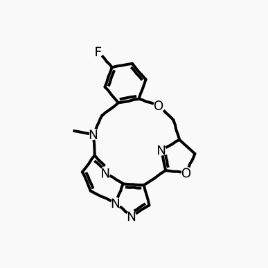 CN1Cc2cc(F)ccc2OCC2COC(=N2)c2cnn3ccc1nc23